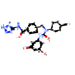 CC(C)(C)C1CCC(N(Cc2ccc(C(=O)Nc3nn[nH]n3)cc2)C(=O)Nc2cc(Br)cc(Br)c2)CC1